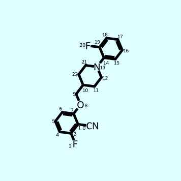 N#Cc1c(F)cccc1OCC1CCN(c2ccccc2F)CC1